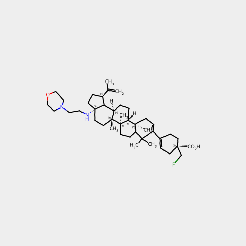 C=C(C)[C@@H]1CC[C@]2(NCCN3CCOCC3)CC[C@]3(C)[C@H](CC[C@@H]4[C@@]5(C)CC=C(C6=CC[C@](CF)(C(=O)O)CC6)C(C)(C)C5CC[C@]43C)C12